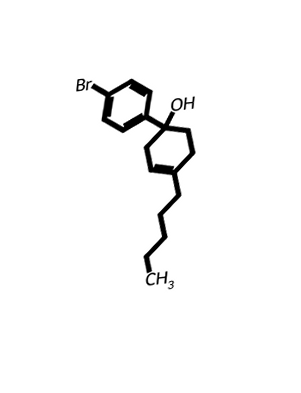 CCCCCC1=CCC(O)(c2ccc(Br)cc2)CC1